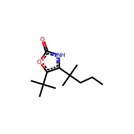 CCCC(C)(C)c1[nH]c(=O)oc1C(C)(C)C